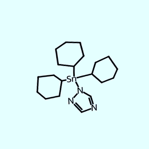 c1nc[n]([Sn]([CH]2CCCCC2)([CH]2CCCCC2)[CH]2CCCCC2)n1